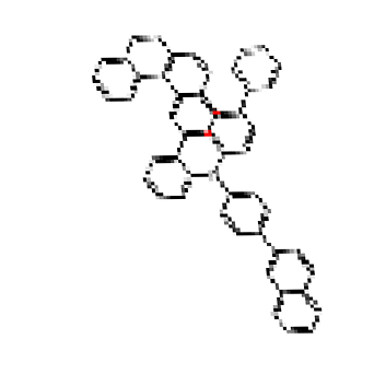 c1ccc(-c2ccc(N(c3ccc(-c4ccc5ccccc5c4)cc3)c3ccccc3-c3ccc4ccc5ccc6ccccc6c5c4c3)cc2)cc1